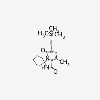 Cc1cc(C#C[Si](C)(C)C)c(=O)n2c1C(=O)NC21CCCCC1